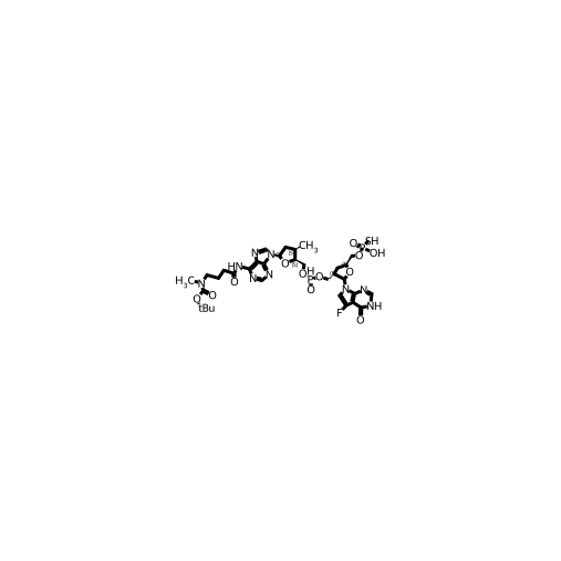 C[C@H]1C[C@H](n2cnc3c(NC(=O)CCCN(C)C(=O)OC(C)(C)C)ncnc32)O[C@@H]1CO[PH](=O)OC[C@@H]1C[C@@H](COP(=O)(O)S)OC1n1cc(F)c2c(=O)[nH]cnc21